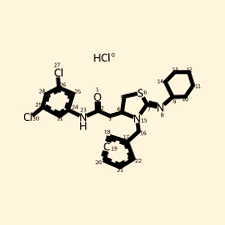 Cl.O=C(CC1CSC(=NC2CCCCC2)N1Cc1ccccc1)Nc1cc(Cl)cc(Cl)c1